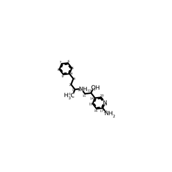 CC(CCc1ccccc1)NCC(O)c1ccc(N)nc1